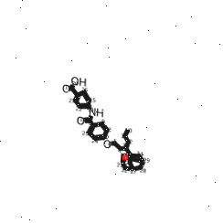 CCCC(CCOc1ccc(C(=O)Nc2ccc(C(=O)O)cc2)cc1)C12CC3CC(CC(C3)C1)C2